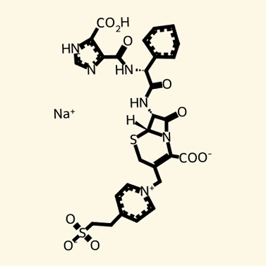 O=C([O-])C1=C(C[n+]2ccc(CCS(=O)(=O)[O-])cc2)CS[C@@H]2[C@H](NC(=O)[C@H](NC(=O)c3nc[nH]c3C(=O)O)c3ccccc3)C(=O)N12.[Na+]